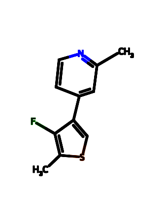 Cc1cc(-c2csc(C)c2F)ccn1